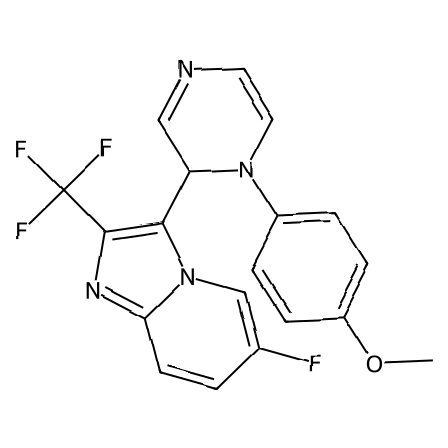 COc1ccc(N2C=CN=CC2c2c(C(F)(F)F)nc3ccc(F)cn23)cc1